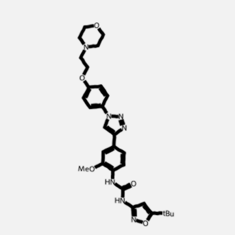 COc1cc(-c2cn(-c3ccc(OCCN4CCOCC4)cc3)nn2)ccc1NC(=O)Nc1cc(C(C)(C)C)on1